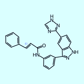 O=C(/C=C/c1ccccc1)Nc1cccc(-c2n[nH]c3ccc(-c4nc[nH]n4)cc23)c1